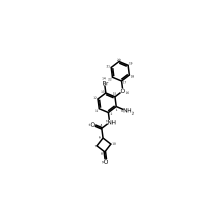 Nc1c(NC(=O)C2CC(=O)C2)ccc(Br)c1Oc1ccccc1